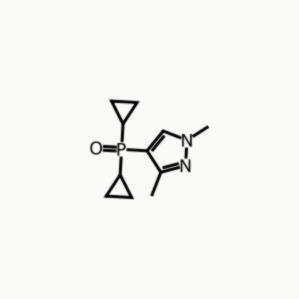 Cc1nn(C)cc1P(=O)(C1CC1)C1CC1